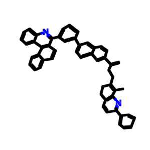 C=C(CCC1=C(C)c2nc(-c3ccccc3)ccc2CC1)c1ccc2cc(-c3cccc(-c4nc5ccccc5c5c4ccc4ccccc45)c3)ccc2c1